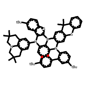 Cc1cc2c3c(c1)N(c1cc4c5c(c1)CC(C)(C)CN5CC(C)(C)C4)c1c(sc4ccc(C(C)(C)C)cc14)B3c1cc3c(cc1N2c1ccc(C(C)(C)C)cc1-c1ccc(C(C)(C)C)cc1)Sc1ccccc1C3(C)C